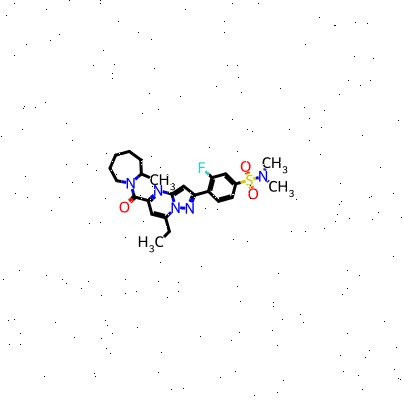 CCc1cc(C(=O)N2CCCCCC2C)nc2cc(-c3ccc(S(=O)(=O)N(C)C)cc3F)nn12